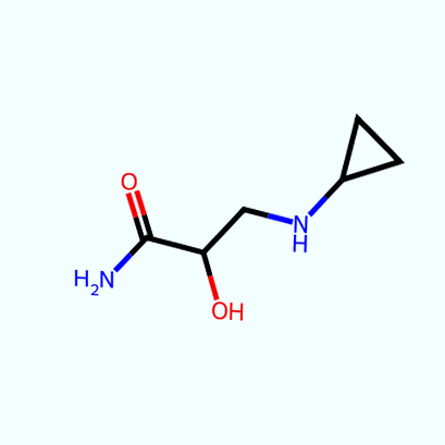 NC(=O)C(O)CNC1CC1